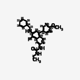 CCNC(=O)Nc1cc2c(F)c(NCc3ccccc3)cc(-c3cnc(OC)nc3)c2cn1